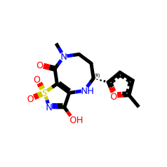 Cc1ccc([C@H]2CCN(C)C(=O)C3=C(N2)C(O)=NS3(=O)=O)o1